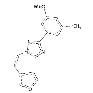 COc1cc(C)cc(-c2ncn(/C=C\c3ccoc3)n2)c1